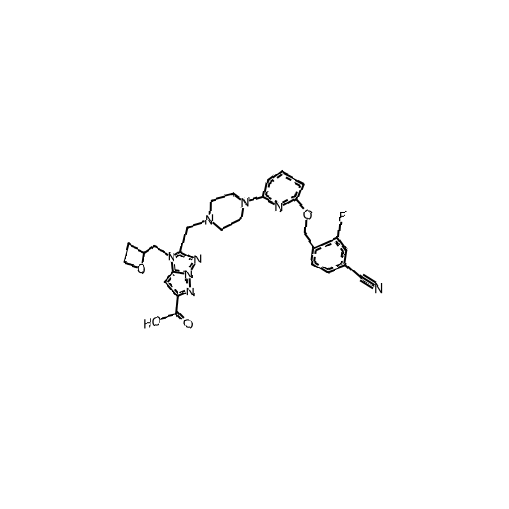 N#Cc1ccc(COc2cccc(N3CCN(Cc4nn5nc(C(=O)O)cc5n4CC4CCO4)CC3)n2)c(F)c1